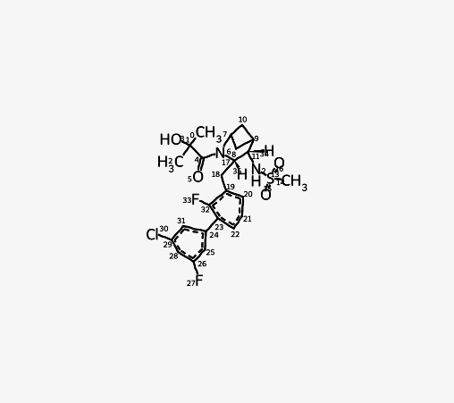 CC(C)(O)C(=O)N1C2CC(C2)[C@H](NS(C)(=O)=O)[C@@H]1Cc1cccc(-c2cc(F)cc(Cl)c2)c1F